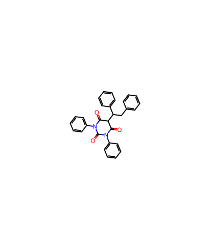 O=C1C(C(Cc2ccccc2)c2ccccc2)C(=O)N(c2ccccc2)C(=O)N1c1ccccc1